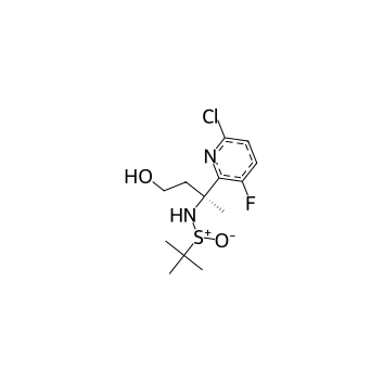 CC(C)(C)[S+]([O-])N[C@@](C)(CCO)c1nc(Cl)ccc1F